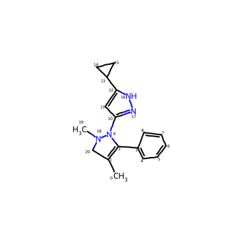 CC1=C(c2ccccc2)N(c2cc(C3CC3)[nH]n2)N(C)C1